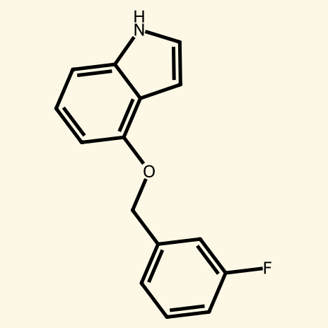 Fc1cccc(COc2cccc3[nH]ccc23)c1